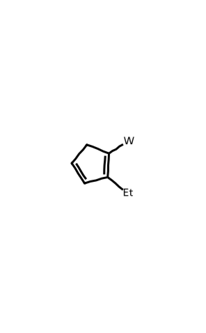 CCC1=[C]([W])CC=C1